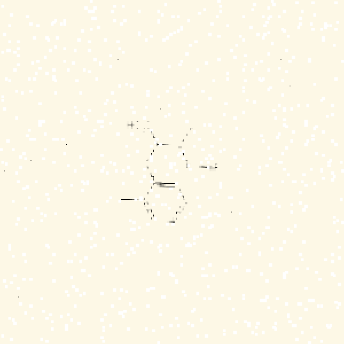 CCCON(C)C(Cc1ccccc1C)C(=O)O